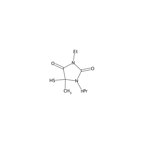 CCCN1C(=O)N(CC)C(=O)C1(C)S